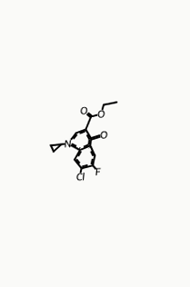 CCOC(=O)c1cn(C2CC2)c2cc(Cl)c(F)cc2c1=O